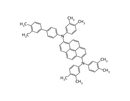 Cc1ccc(-c2ccc(N(c3ccc(C)c(C)c3)c3ccc4ccc5c(N(c6ccc(C)c(C)c6)c6ccc(C)c(C)c6)ccc6ccc3c4c65)cc2)cc1C